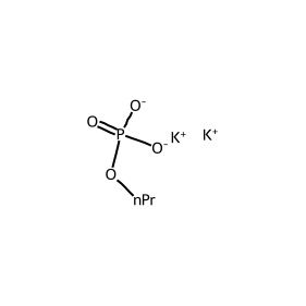 CCCOP(=O)([O-])[O-].[K+].[K+]